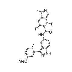 COc1ccc(C)c(-c2n[nH]c3ccc(NC(=O)c4c(F)cc5c(cnn5C)c4F)cc23)c1